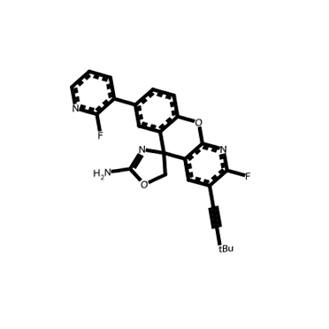 CC(C)(C)C#Cc1cc2c(nc1F)Oc1ccc(-c3cccnc3F)cc1C21COC(N)=N1